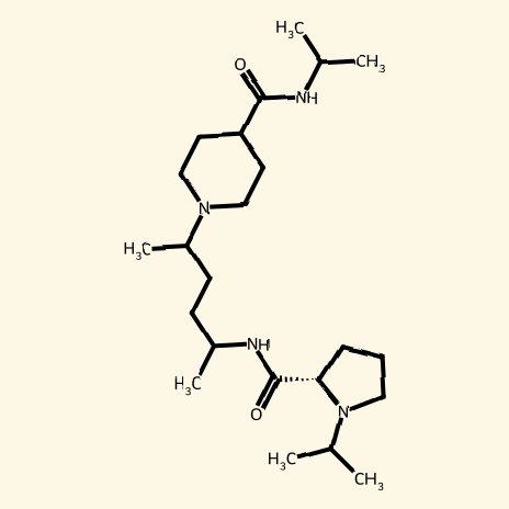 CC(C)NC(=O)C1CCN(C(C)CCC(C)NC(=O)[C@@H]2CCCN2C(C)C)CC1